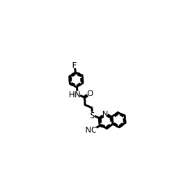 N#Cc1cc2ccccc2nc1SCCC(=O)Nc1ccc(F)cc1